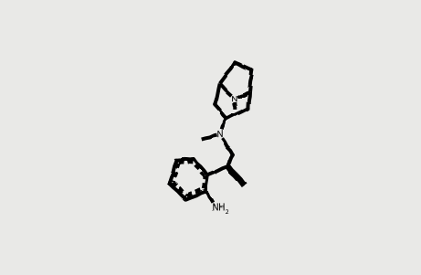 C=C(CN(C)C1CC2CCC(C1)N2C)c1ccccc1N